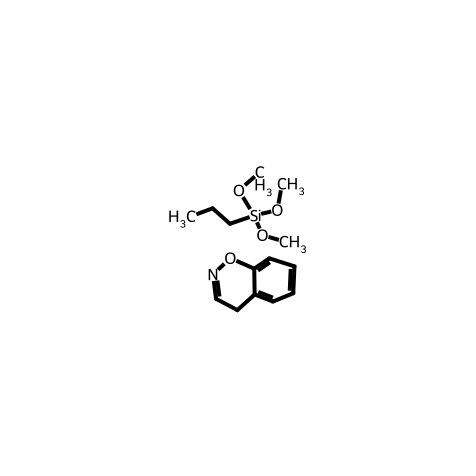 C1=NOc2ccccc2C1.CCC[Si](OC)(OC)OC